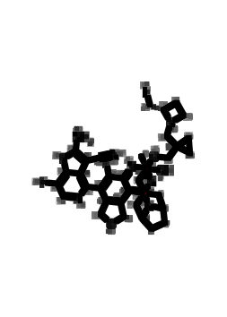 C[C@@H](O)CN1CC2CCC(C1)N2c1nc(OCC2(CN3CC[C@H]3CF)CC2)nc2c(F)c(-c3ncc(F)c4sc(N)c(C#N)c34)c3c(c12)COC3